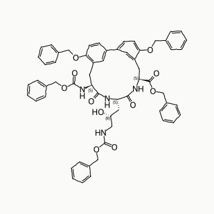 O=C(NC[C@H](O)C[C@@H]1NC(=O)[C@@H](NC(=O)OCc2ccccc2)Cc2cc(ccc2OCc2ccccc2)-c2ccc(OCc3ccccc3)c(c2)C[C@@H](C(=O)OCc2ccccc2)NC1=O)OCc1ccccc1